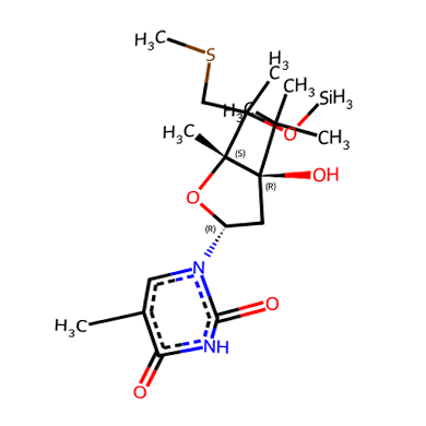 CSCC(C)(O[SiH3])[C@@]1(C)O[C@@H](n2cc(C)c(=O)[nH]c2=O)C[C@@]1(O)C(C)(C)C